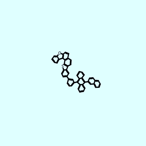 c1cc(-c2ccc3sc4c(ccc5ccc6oc7ccccc7c6c54)c3c2)cc(-c2c3ccccc3c(-c3ccc4ccccc4c3)c3ccccc23)c1